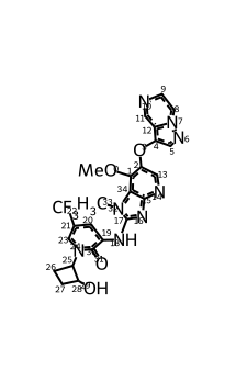 COc1c(Oc2cnn3ccncc23)cnc2nc(Nc3cc(C(F)(F)F)cn(C4CCC4O)c3=O)n(C)c12